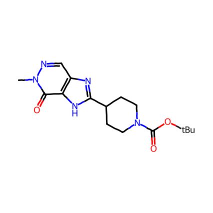 Cn1ncc2nc(C3CCN(C(=O)OC(C)(C)C)CC3)[nH]c2c1=O